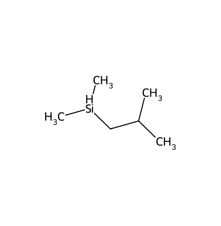 CC(C)C[SiH](C)C